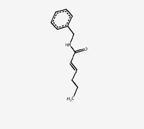 CCCC=CC(=O)NCc1ccccc1